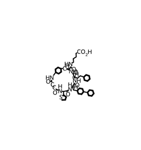 O=C(O)CCCCNC(=O)[C@@H]1Cc2ccc(cc2)NC(=O)CCC(=O)NC(c2cccs2)C(=O)N[C@@H](Cc2ccc(-c3ccccc3)cc2)C(=O)N[C@H](CCc2ccccc2)C(=O)N1